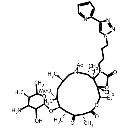 CC[C@H]1OC(=O)[C@H](C)C(=O)[C@H](C)[C@@H](O[C@@H]2OC(C)[C@H](C)C(N)C2O)[C@](C)(OC)C[C@@H](C)CN(C(C)=O)[C@H](C)[C@H]2N(CCCCn3cc(-c4ccccn4)nn3)C(=O)O[C@]12C